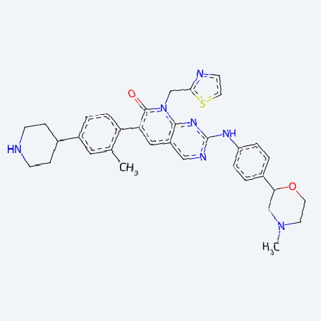 Cc1cc(C2CCNCC2)ccc1-c1cc2cnc(Nc3ccc(C4CN(C)CCO4)cc3)nc2n(Cc2nccs2)c1=O